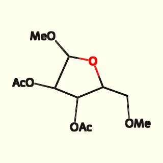 COCC1OC(OC)C(OC(C)=O)C1OC(C)=O